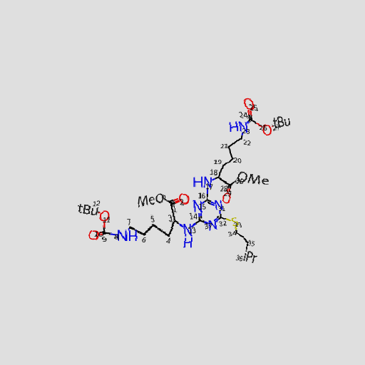 COC(=O)C(CCCCNC(=O)OC(C)(C)C)Nc1nc(NC(CCCCNC(=O)OC(C)(C)C)C(=O)OC)nc(SCCC(C)C)n1